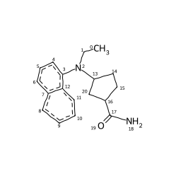 CCN(c1cccc2ccccc12)C1CCC(C(N)=O)C1